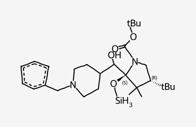 CC(C)(C)OC(=O)N1C[C@H](C(C)(C)C)C(C)(C)[C@]1(O[SiH3])C(O)C1CCN(Cc2ccccc2)CC1